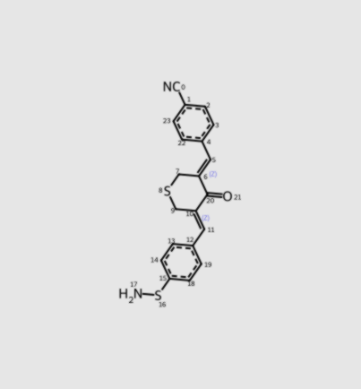 N#Cc1ccc(/C=C2\CSC/C(=C\c3ccc(SN)cc3)C2=O)cc1